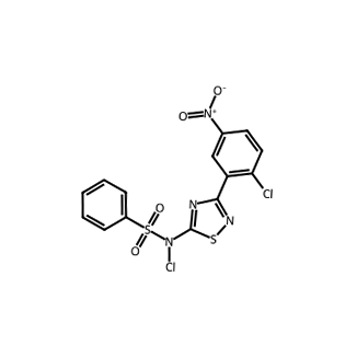 O=[N+]([O-])c1ccc(Cl)c(-c2nsc(N(Cl)S(=O)(=O)c3ccccc3)n2)c1